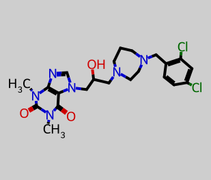 Cn1c(=O)c2c(ncn2CC(O)CN2CCCN(Cc3ccc(Cl)cc3Cl)CC2)n(C)c1=O